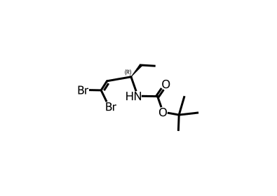 CC[C@H](C=C(Br)Br)NC(=O)OC(C)(C)C